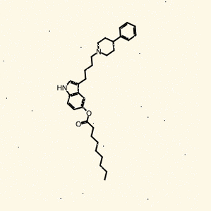 CCCCCCCCC(=O)Oc1ccc2[nH]cc(CCCCN3CCC(c4ccccc4)CC3)c2c1